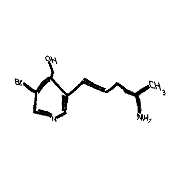 CC(N)CC=Cc1cncc(Br)c1O